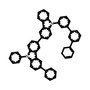 C1=CCCC(c2cccc(-c3cccc(-n4c5ccccc5c5cc(-c6ccc7c(c6)c6cc(-c8ccccc8)ccc6n7-c6ccccc6)ccc54)c3)c2)=C1